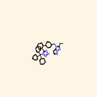 CCc1nn2nccc2n1Cc1ccc(-c2ccccc2-c2nnnn2C(c2ccccc2)(c2ccccc2)c2ccccc2)cc1